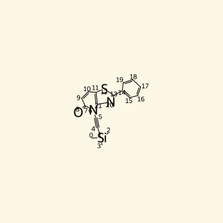 C[Si](C)(C)C#Cn1c(=O)ccc2sc(-c3ccccc3)nc21